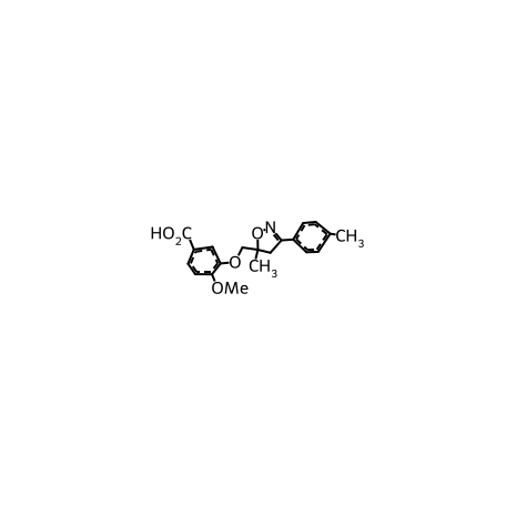 COc1ccc(C(=O)O)cc1OCC1(C)CC(c2ccc(C)cc2)=NO1